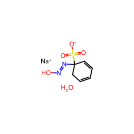 O.O=S(=O)([O-])C1(N=NO)C=CC=CC1.[Na+]